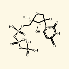 C[C@]1(COP(=O)(O)OP(=O)(O)OP(=O)(O)O)OCC(Cl)(n2ccc(=O)[nH]c2=O)[C@@H]1O